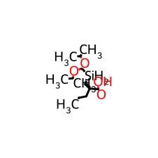 CCCC(=C[SiH2]C(OC(C)C)OC(C)C)C(=O)O